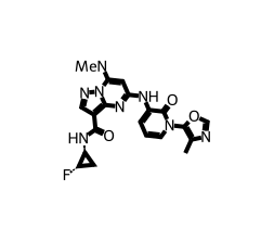 CNc1cc(Nc2cccn(-c3ocnc3C)c2=O)nc2c(C(=O)N[C@@H]3C[C@@H]3F)cnn12